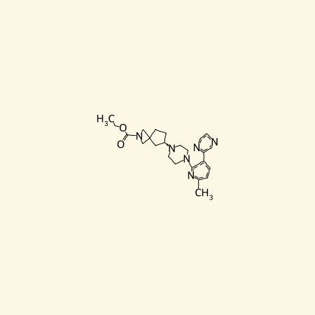 CCOC(=O)N1CC2(CC[C@@H](N3CCN(c4nc(C)ccc4-c4cnccn4)CC3)C2)C1